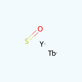 O=S.[Tb].[Y]